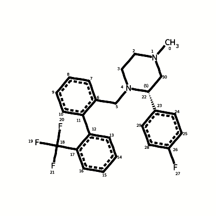 CN1CCN(Cc2ccccc2-c2ccccc2C(F)(F)F)[C@@H](c2ccc(F)cc2)C1